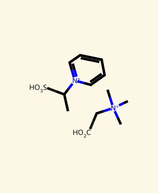 CC([n+]1ccccc1)S(=O)(=O)O.C[N+](C)(C)CC(=O)O